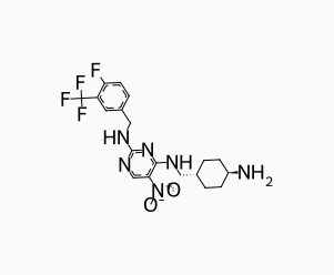 N[C@H]1CC[C@H](CNc2nc(NCc3ccc(F)c(C(F)(F)F)c3)ncc2[N+](=O)[O-])CC1